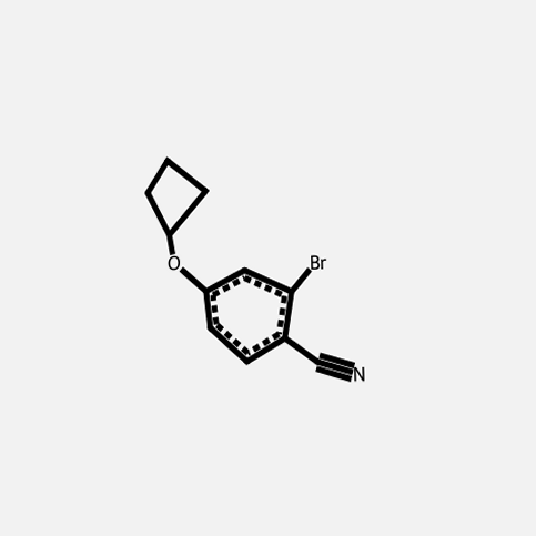 N#Cc1ccc(OC2CCC2)cc1Br